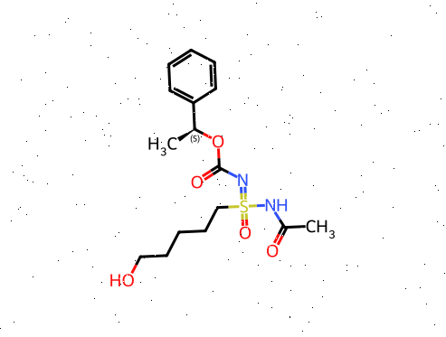 CC(=O)NS(=O)(CCCCCO)=NC(=O)O[C@@H](C)c1ccccc1